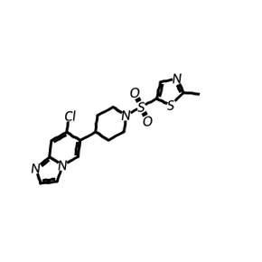 Cc1ncc(S(=O)(=O)N2CCC(c3cn4ccnc4cc3Cl)CC2)s1